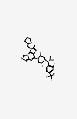 Cc1nc2c(N3C[C@@H](C)N([C@@H](c4ccc(C(F)(F)F)cc4F)C(C)C)C[C@@H]3C)nc3nncn3c2n1CC1CCCO1